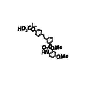 COc1ccc(NC(=O)Oc2cccc(CCc3ccc(OC(C)(C)C(=O)O)cc3)c2)c(OC)c1